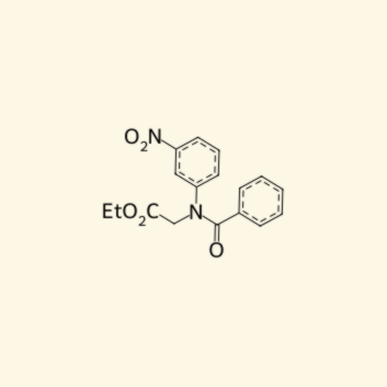 CCOC(=O)CN(C(=O)c1ccccc1)c1cccc([N+](=O)[O-])c1